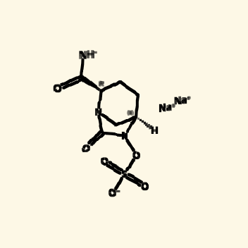 [NH-]C(=O)[C@H]1CC[C@@H]2CN1C(=O)N2OS(=O)(=O)[O-].[Na+].[Na+]